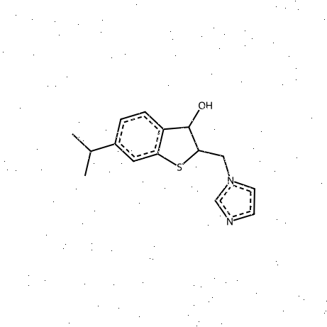 CC(C)c1ccc2c(c1)SC(Cn1ccnc1)C2O